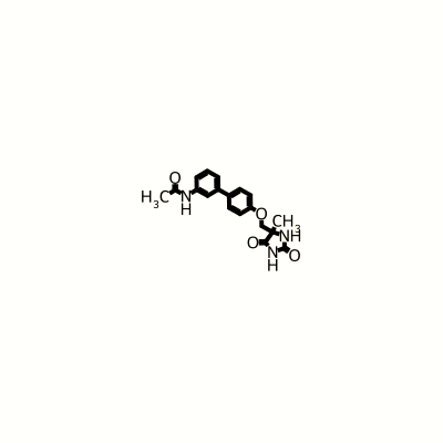 CC(=O)Nc1cccc(-c2ccc(OCC3(C)NC(=O)NC3=O)cc2)c1